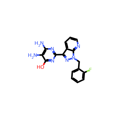 Nc1nc(-c2nn(Cc3ccccc3F)c3ncccc23)nc(O)c1N